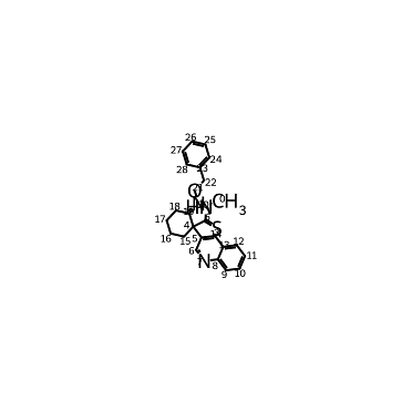 CNC(=S)C1(c2cnc3ccccc3c2)CCCCC1=NOCc1ccccc1